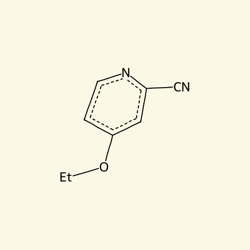 CCOc1ccnc(C#N)c1